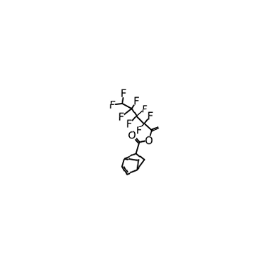 C=C(OC(=O)C1CC2C=CC1C2)C(F)(F)C(F)(F)C(F)(F)C(F)F